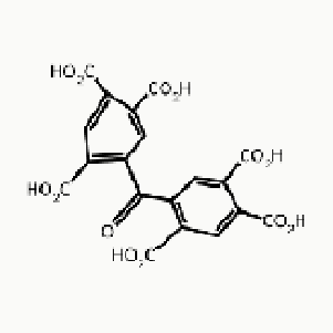 O=C(O)c1cc(C(=O)O)c(C(=O)c2cc(C(=O)O)c(C(=O)O)cc2C(=O)O)cc1C(=O)O